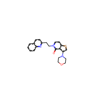 O=c1c2c(N3CCOCC3)csc2ccn1CCc1ccc2ccccc2n1